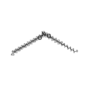 CCCCCCCCC=CCCCCCCCCOCCN(C)CCOCCCCCCCCC=CCCCCCCCC